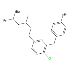 CCCc1ccc(Cc2cc(CCC(C)CC(C(C)C)C(C)(C)C)ccc2Cl)cc1